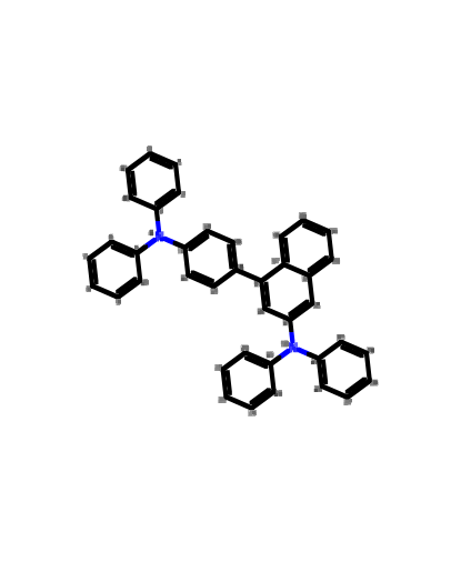 c1ccc(N(c2ccccc2)c2ccc(-c3cc(N(c4ccccc4)c4ccccc4)cc4ccccc34)cc2)cc1